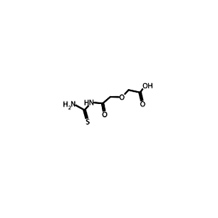 NC(=S)NC(=O)COCC(=O)O